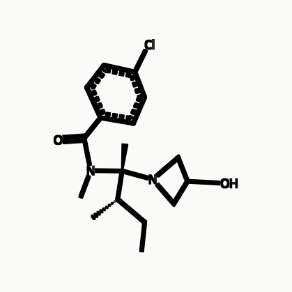 CC[C@H](C)[C@@](C)(N1CC(O)C1)N(C)C(=O)c1ccc(Cl)cc1